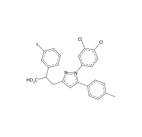 Cc1ccc(-c2cc(CC(C(=O)O)c3cccc(I)c3)nn2-c2ccc(Cl)c(Cl)c2)cc1